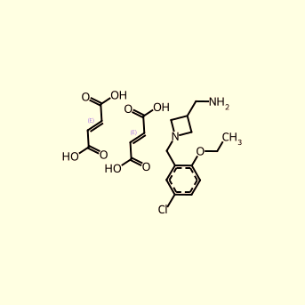 CCOc1ccc(Cl)cc1CN1CC(CN)C1.O=C(O)/C=C/C(=O)O.O=C(O)/C=C/C(=O)O